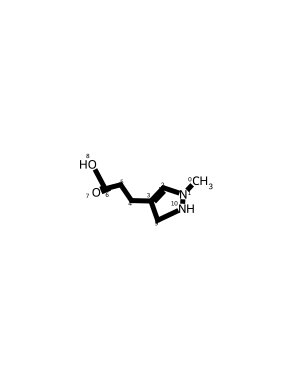 CN1[C]=C(CCC(=O)O)CN1